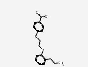 CCCc1ccccc1OCCOc1ccc([N+](=O)[O-])cc1